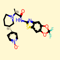 C[C@@H](C(=O)Nc1nc2cc3c(cc2s1)OC(F)(F)O3)N1CCC[C@@H](c2cc[n+]([O-])cc2)C1